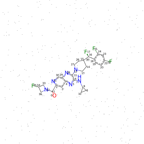 O=C(c1cc2nc(NC3CC3)c(N3CCC([C@@H](F)c4ccc(F)cc4F)CC3)nc2cn1)N1CC(F)C1